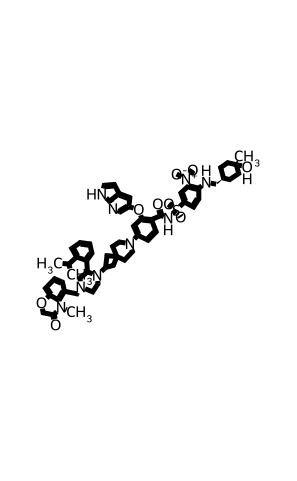 CC(C)c1ccccc1C1CN(Cc2cccc3c2N(C)C(=O)CO3)CCN1C1CC2(CCN(c3ccc(C(=O)NS(=O)(=O)c4ccc(NC[C@H]5CC[C@](C)(O)CC5)c([N+](=O)[O-])c4)c(Oc4cnc5[nH]ccc5c4)c3)CC2)C1